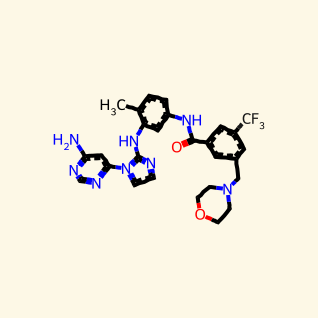 Cc1ccc(NC(=O)c2cc(CN3CCOCC3)cc(C(F)(F)F)c2)cc1Nc1nccn1-c1cc(N)ncn1